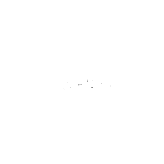 CCCC=Cc1ccc(C#Cc2ccc(C)cc2)c(F)c1F